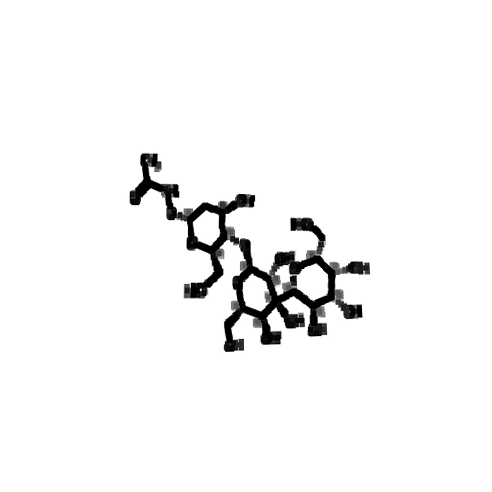 CC(=O)NO[C@@H]1C[C@@H](O)[C@H](O[C@@H]2O[C@H](CO)[C@H](O)[C@@](O)([C@@H]3O[C@H](CO)[C@H](O)[C@H](O)[C@H]3O)[C@H]2O)[C@@H](CO)O1